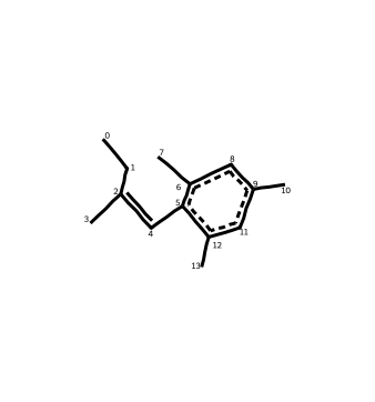 CCC(C)=Cc1c(C)cc(C)cc1C